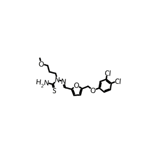 COCCCN(N=Cc1ccc(COc2ccc(Cl)c(Cl)c2)o1)C(N)=S